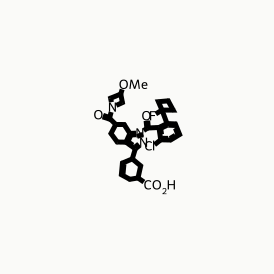 COC1CN(C(=O)C2CCc3c(C4C=CCC(C(=O)O)C4)nn(C(=O)c4c(Cl)cccc4C4(F)CCC4)c3C2)C1